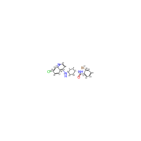 O=C(N[C@H]1CC[C@@H](Nc2ccnc3cc(Cl)ccc23)CC1)c1ccccc1Br